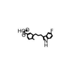 Cc1ccc(S(=O)(=O)O)cc1CCCc1c[nH]c2ccc(F)cc12